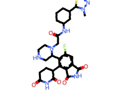 CN1N=CSC1C1CCCC(NC(=O)CN2CCNCC2c2c(F)cc3c(c2C2CCC(=O)NC2=O)C(=O)NC3=O)C1